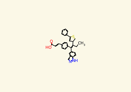 CC/C(=C(/c1ccc(/C=C/C(=O)O)cc1)c1ccc2[nH]ncc2c1)C1C=C(c2ccccc2)SC1